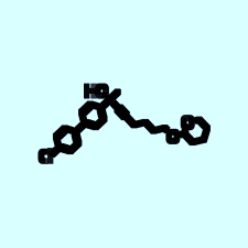 CC(O)(C#CCCCCOC1CCCCO1)c1ccc(-c2ccc(Cl)cc2)cc1